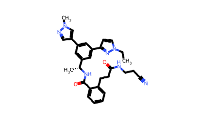 CCn1ccc(-c2cc(-c3cnn(C)c3)cc([C@@H](C)NC(=O)c3ccccc3CCC(=O)NCCC#N)c2)n1